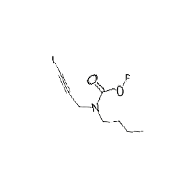 CCCCN(CC#CI)C(=O)OF